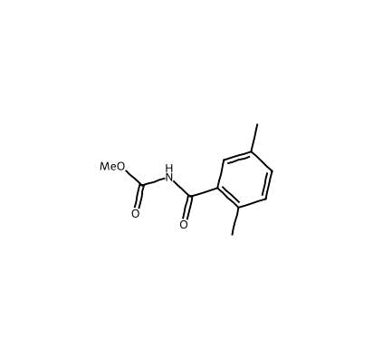 COC(=O)NC(=O)c1cc(C)ccc1C